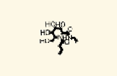 CCCC(=O)N1C(CO)C(O)C(O)C(O)C1C(=O)NCC